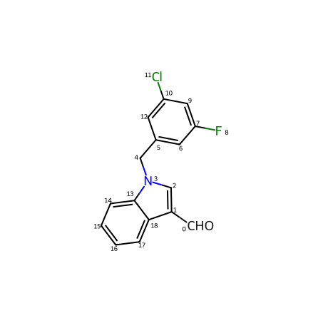 O=Cc1cn(Cc2cc(F)cc(Cl)c2)c2ccccc12